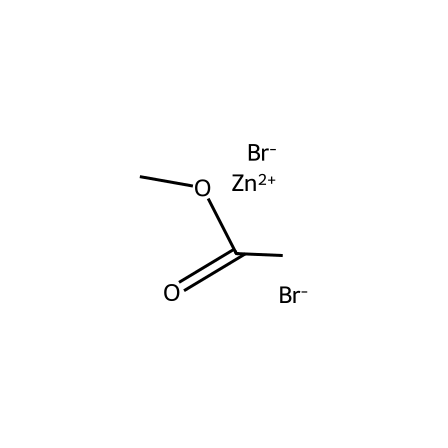 COC(C)=O.[Br-].[Br-].[Zn+2]